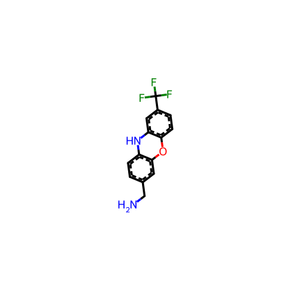 NCc1ccc2c(c1)Oc1ccc(C(F)(F)F)cc1N2